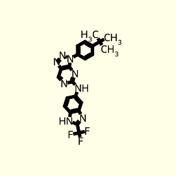 CC(C)(C)c1ccc(-n2nnc3cnc(Nc4ccc5[nH]c(C(F)(F)F)nc5c4)nc32)cc1